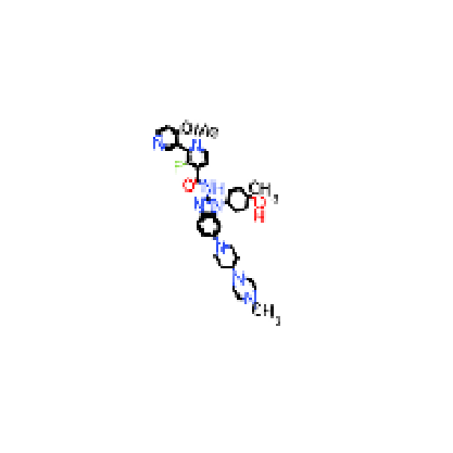 COc1ccncc1-c1nccc(C(=O)Nc2nc3ccc(N4CCC(N5CCN(C)CC5)CC4)cc3n2[C@H]2CC[C@@](C)(O)CC2)c1F